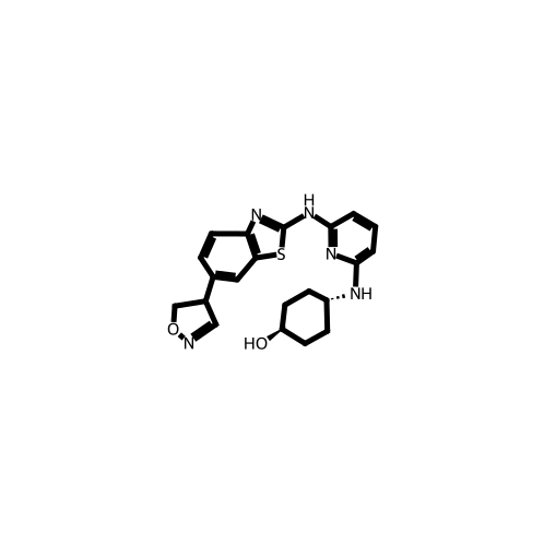 O[C@H]1CC[C@H](Nc2cccc(Nc3nc4ccc(C5C=NOC5)cc4s3)n2)CC1